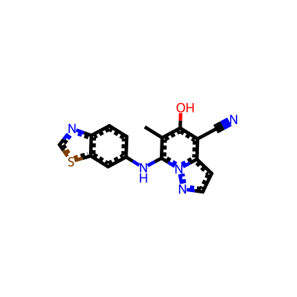 Cc1c(O)c(C#N)c2ccnn2c1Nc1ccc2ncsc2c1